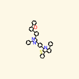 C1=c2sc3c(-c4ccc(-c5cc(-c6cccc(-c7cccc8c7oc7ccccc78)c6)nc(-c6ccccc6)n5)cc4)nc4c(-c5ccccc5)cccc4c3c2=CCC1